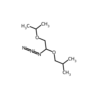 CC(C)COC(COC(C)C)N=[N+]=[N-]